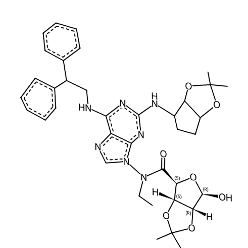 CCN(C(=O)[C@H]1O[C@@H](O)[C@@H]2OC(C)(C)O[C@@H]21)n1cnc2c(NCC(c3ccccc3)c3ccccc3)nc(NC3CCC4OC(C)(C)OC34)nc21